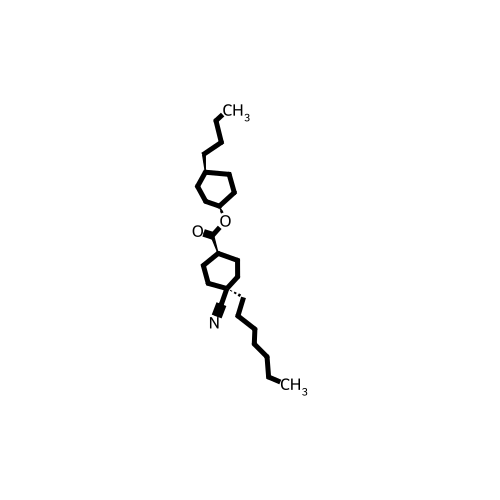 CCCCCCC[C@]1(C#N)CC[C@@H](C(=O)O[C@H]2CC[C@H](CCCC)CC2)CC1